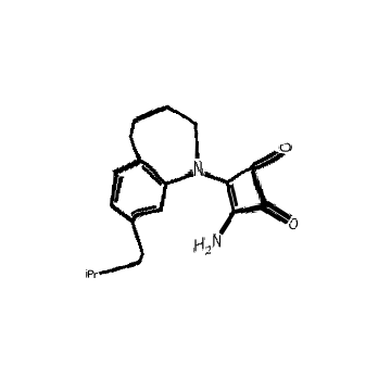 CC(C)Cc1ccc2c(c1)N(c1c(N)c(=O)c1=O)CCC2